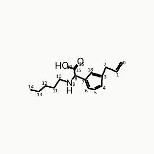 C=CCc1cccc(C(NCCCCC)C(=O)O)c1